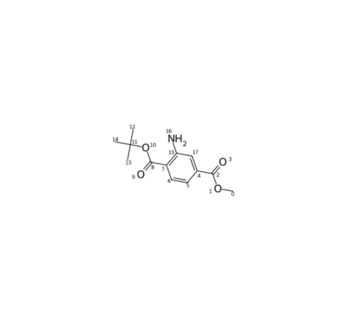 COC(=O)c1ccc(C(=O)OC(C)(C)C)c(N)c1